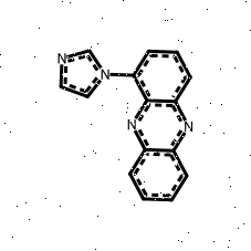 c1ccc2nc3c(-n4ccnc4)cccc3nc2c1